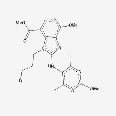 COC(=O)c1ccc(OC)c2nc(Nc3c(C)nc(OC)nc3C)n(CCCCl)c12